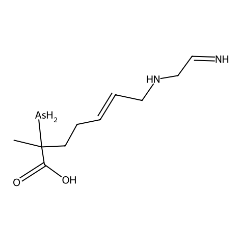 CC([AsH2])(CCC=CCNCC=N)C(=O)O